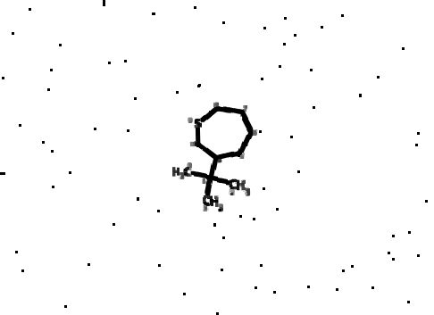 CC(C)(C)C1CCCCSC1